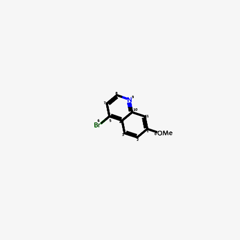 COc1ccc2c(Br)ccnc2c1